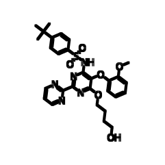 COc1ccccc1Oc1c(NS(=O)(=O)c2ccc(C(C)(C)C)cc2)nc(-c2ncccn2)nc1OCCCCO